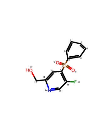 O=S(=O)(c1ccccc1)c1cc(CO)ncc1F